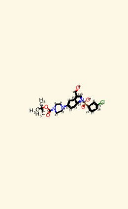 CC(C)(C)OC(=O)N1CCN(c2ccc3c(c2)c(C=O)cn3S(=O)(=O)c2cccc(Cl)c2)CC1